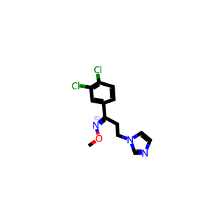 CO/N=C(\CCn1ccnc1)c1ccc(Cl)c(Cl)c1